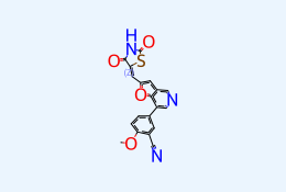 COc1ccc(-c2cncc3cc(/C=C4\SC(=O)NC4=O)oc23)cc1C#N